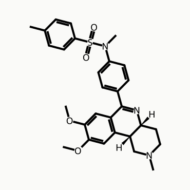 COc1cc2c(cc1OC)[C@H]1CN(C)CC[C@H]1N=C2c1ccc(N(C)S(=O)(=O)c2ccc(C)cc2)cc1